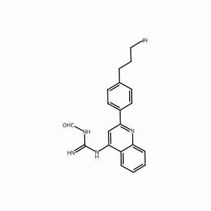 CC(C)CCCc1ccc(-c2cc(NC(=N)NC=O)c3ccccc3n2)cc1